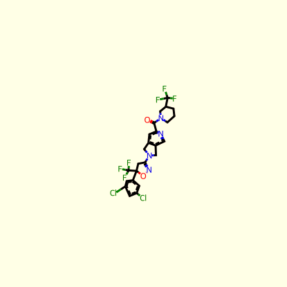 O=C(c1cc2c(cn1)CN(C1=NOC(c3cc(Cl)cc(Cl)c3)(C(F)(F)F)C1)C2)N1CCCC(C(F)(F)F)C1